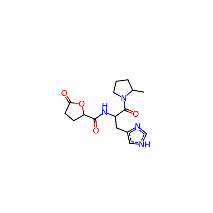 CC1CCCN1C(=O)C(Cc1c[nH]cn1)NC(=O)C1CCC(=O)O1